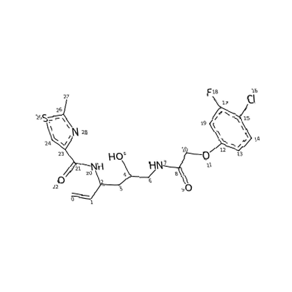 C=CC(CC(O)CNC(=O)COc1ccc(Cl)c(F)c1)NC(=O)c1csc(C)n1